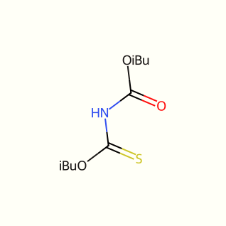 CC(C)COC(=O)NC(=S)OCC(C)C